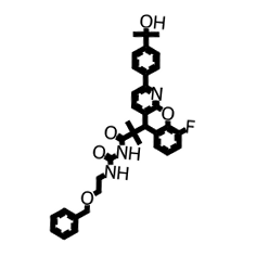 CC(C)(O)c1ccc(-c2ccc3c(n2)Oc2c(F)cccc2C3C(C)(C)C(=O)NC(=O)NCCOCc2ccccc2)cc1